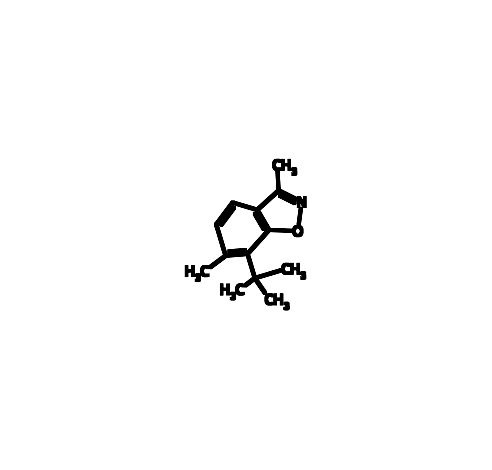 Cc1ccc2c(C)noc2c1C(C)(C)C